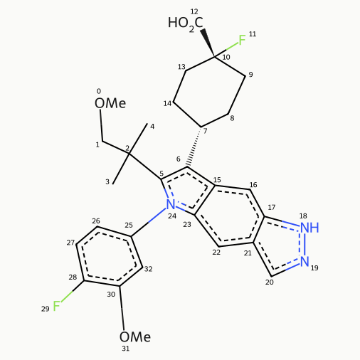 COCC(C)(C)c1c([C@H]2CC[C@](F)(C(=O)O)CC2)c2cc3[nH]ncc3cc2n1-c1ccc(F)c(OC)c1